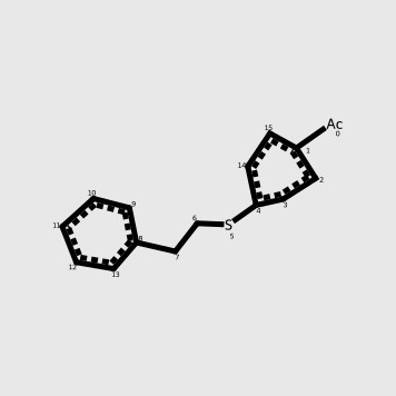 CC(=O)c1ccc(SCCc2ccccc2)cc1